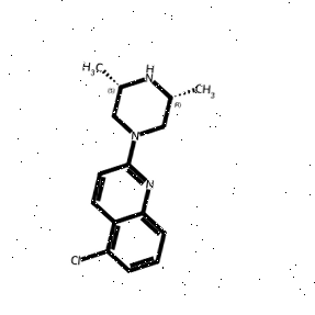 C[C@@H]1CN(c2ccc3c(Cl)cccc3n2)C[C@H](C)N1